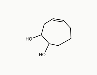 OC1CC=CCCCC1O